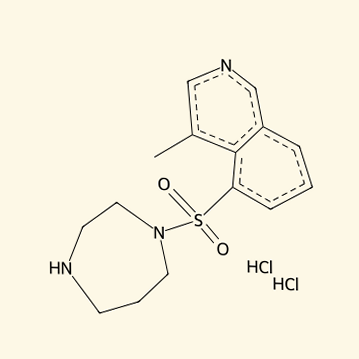 Cc1cncc2cccc(S(=O)(=O)N3CCCNCC3)c12.Cl.Cl